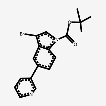 CC(C)(C)OC(=O)n1cc(Br)c2cc(-c3cccnc3)ccc21